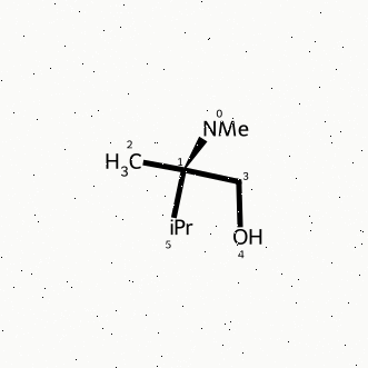 CN[C@@](C)(CO)C(C)C